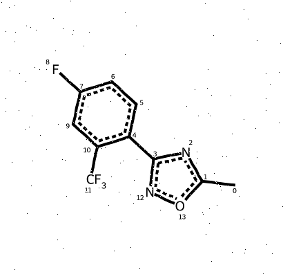 Cc1nc(-c2ccc(F)cc2C(F)(F)F)no1